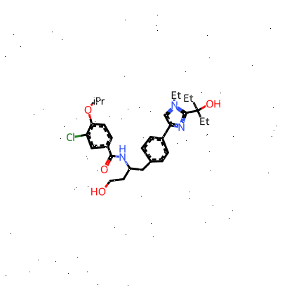 CCn1cc(-c2ccc(CC(CCO)NC(=O)c3ccc(OC(C)C)c(Cl)c3)cc2)nc1C(O)(CC)CC